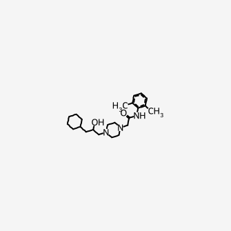 Cc1cccc(C)c1NC(=O)CN1CCN(CC(O)CC2CCCCC2)CC1